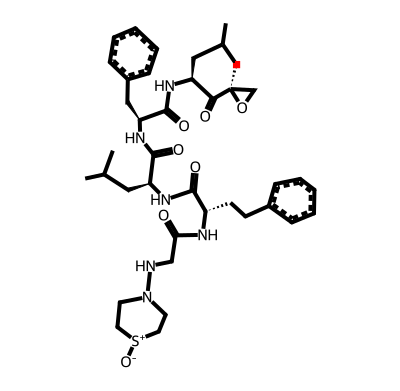 CC(C)C[C@H](NC(=O)[C@H](CCc1ccccc1)NC(=O)CNN1CC[S+]([O-])CC1)C(=O)N[C@@H](Cc1ccccc1)C(=O)N[C@@H](CC(C)C)C(=O)[C@@]1(C)CO1